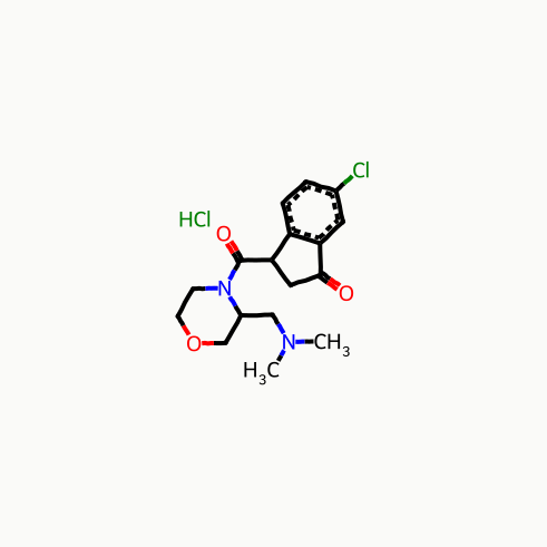 CN(C)CC1COCCN1C(=O)C1CC(=O)c2cc(Cl)ccc21.Cl